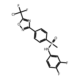 CP(=O)(Nc1ccc(F)c(F)c1)c1ccc(-c2noc(C(F)(F)Cl)n2)cc1